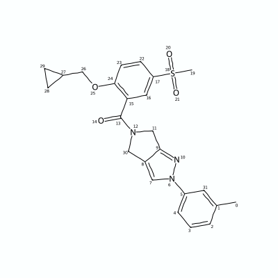 Cc1cccc(-n2cc3c(n2)CN(C(=O)c2cc(S(C)(=O)=O)ccc2OCC2CC2)C3)c1